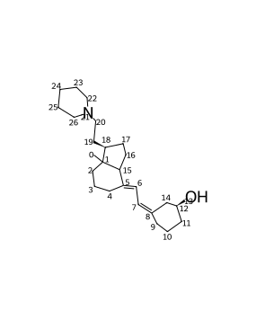 CC12CCC/C(=C\C=C3\CCC[C@H](O)C3)C1CC[C@@H]2CCN1CCCCC1